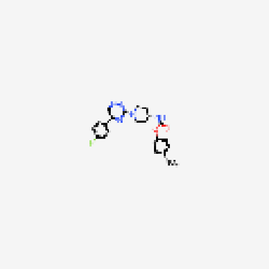 O=C(NC1CCN(c2nncc(-c3ccc(F)cc3)n2)CC1)Oc1ccc([N+](=O)[O-])cc1